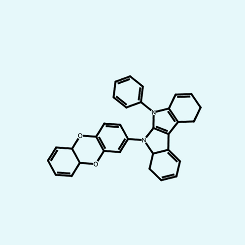 C1=CCC2C(=C1)c1c3c(n(-c4ccccc4)c1N2c1ccc2c(c1)OC1C=CC=CC1O2)C=CCC3